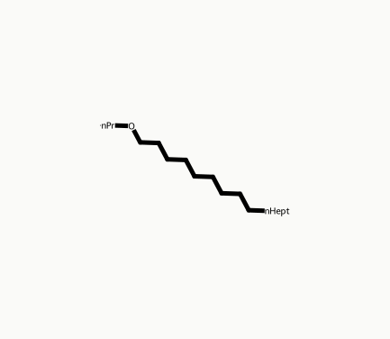 CC[CH]OCCCCCCCCCCCCCCCC